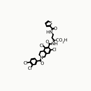 O=C(NCC[C@H](NC(=O)c1c(Cl)cc2c(c1Cl)CCN(C(=O)c1ccc(Cl)c(Cl)c1)C2)C(=O)O)c1cccs1